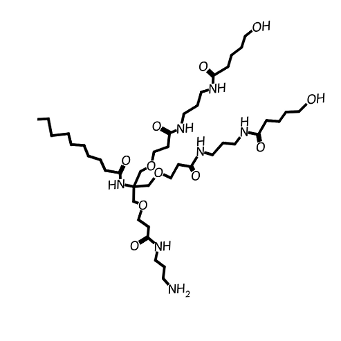 CCCCCCCCCC(=O)NC(COCCC(=O)NCCCN)(COCCC(=O)NCCCNC(=O)CCCCO)COCCC(=O)NCCCNC(=O)CCCCO